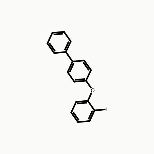 Ic1ccccc1Oc1ccc(-c2ccccc2)cc1